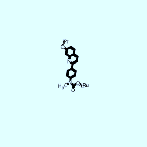 CC(C)Oc1ccc2ccc(-c3ccc(N(C)C(=O)OC(C)(C)C)cc3)nc2c1